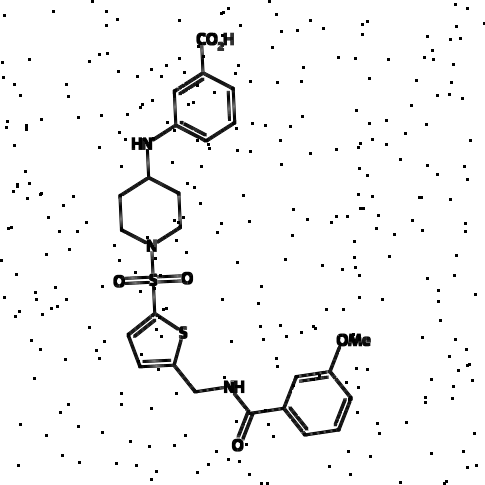 COc1cccc(C(=O)NCc2ccc(S(=O)(=O)N3CCC(Nc4cccc(C(=O)O)c4)CC3)s2)c1